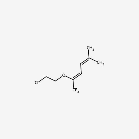 CC(C)=C/C=C(\OCCCl)C(F)(F)F